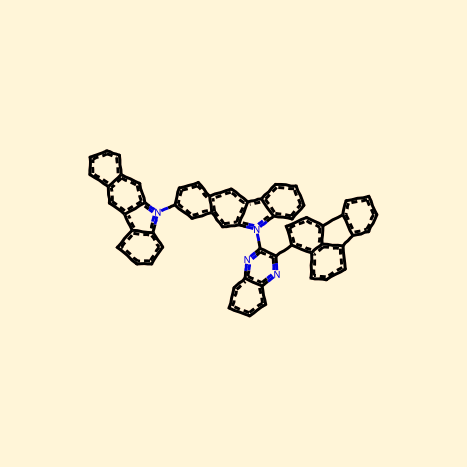 c1ccc2c(c1)-c1cccc3c(-c4nc5ccccc5nc4-n4c5ccccc5c5cc6ccc(-n7c8ccccc8c8cc9ccccc9cc87)cc6cc54)ccc-2c13